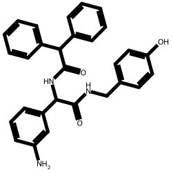 Nc1cccc(C(NC(=O)C(c2ccccc2)c2ccccc2)C(=O)NCc2ccc(O)cc2)c1